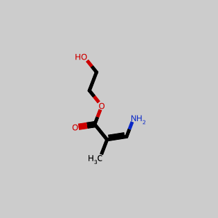 CC(=CN)C(=O)OCCO